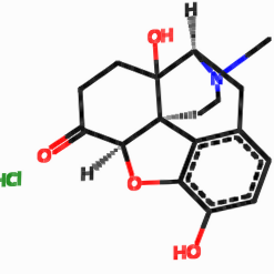 CN1CC[C@]23c4c5ccc(O)c4O[C@H]2C(=O)CCC3(O)[C@H]1C5.Cl